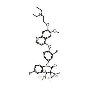 CCN(CC)CCOc1cc2nccc(Oc3ccc(N(C(=O)C4(C(N)=O)[C@@H](C)[C@@H]4C)c4ccc(F)cc4)cc3F)c2cc1OC